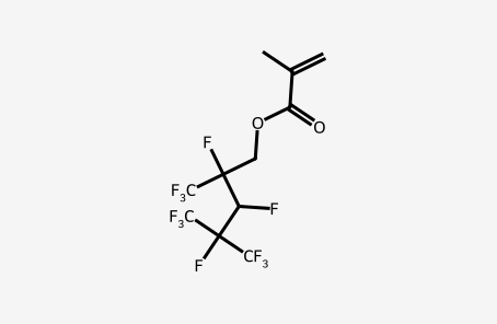 C=C(C)C(=O)OCC(F)(C(F)C(F)(C(F)(F)F)C(F)(F)F)C(F)(F)F